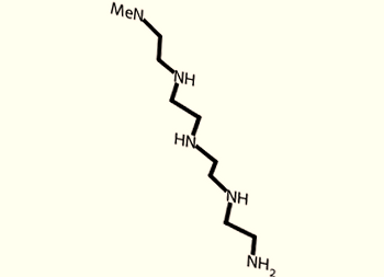 CNCCNCCNCCNCCN